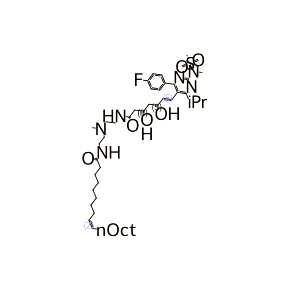 CCCCCCCC/C=C\CCCCCCCC(=O)NCCN(C)CCNC(=O)C[C@H](O)C[C@H](O)/C=C/c1c(-c2ccc(F)cc2)nc(N(C)S(C)(=O)=O)nc1C(C)C